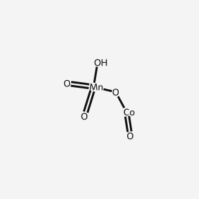 [O]=[Co][O][Mn](=[O])(=[O])[OH]